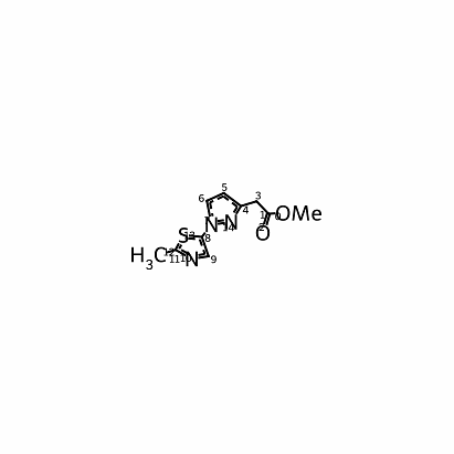 COC(=O)Cc1ccn(-c2cnc(C)s2)n1